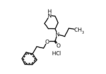 CCCN(C(=O)OCCc1ccccc1)C1CCNCC1.Cl